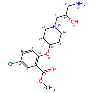 COC(=O)c1cc(Cl)ccc1OC1CCN(C[C@H](O)CN)CC1